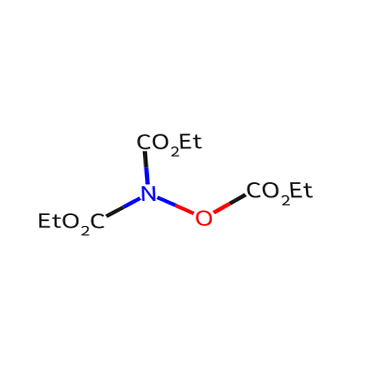 CCOC(=O)ON(C(=O)OCC)C(=O)OCC